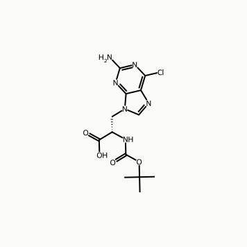 CC(C)(C)OC(=O)N[C@@H](Cn1cnc2c(Cl)nc(N)nc21)C(=O)O